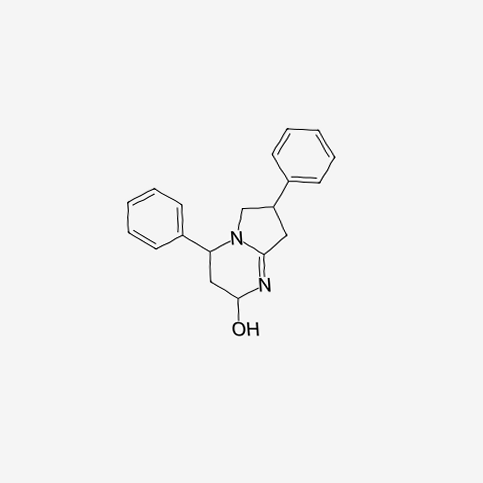 OC1CC(c2ccccc2)N2CC(c3ccccc3)CC2=N1